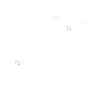 Cc1ccc(-c2ccccc2N)c([N+](=O)[O-])c1